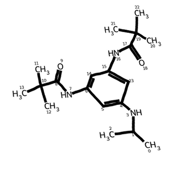 CC(C)Nc1cc(NC(=O)C(C)(C)C)cc(NC(=O)C(C)(C)C)c1